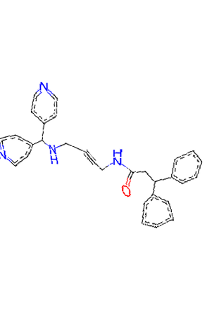 O=C(CC(c1ccccc1)c1ccccc1)NCC#CCNC(c1ccncc1)c1ccncc1